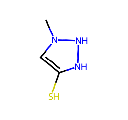 CN1C=C(S)NN1